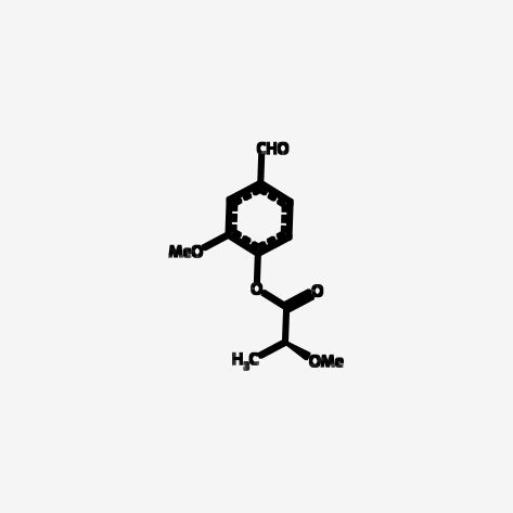 COc1cc(C=O)ccc1OC(=O)[C@H](C)OC